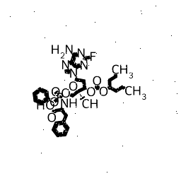 C#C[C@]1(CO[P@@](=O)(NC(Cc2ccccc2)C(=O)O)Oc2ccccc2)O[C@@H](n2cnc3c(N)nc(F)nc32)C[C@@H]1OC(=O)OC(CCC)CCC